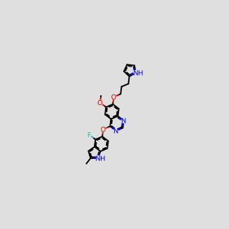 COc1cc2c(Oc3ccc4[nH]c(C)cc4c3F)ncnc2cc1OCCCc1ccc[nH]1